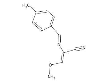 CO/C=C(C#N)\N=C\c1ccc(C)cc1